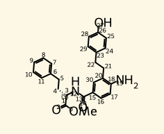 COC(=O)[C@H](CCc1ccccc1)NC(=O)c1ccc(N)c(CCc2ccc(O)cc2)c1